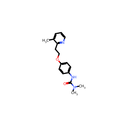 Cc1cccnc1CCOc1ccc(NC(=O)N(C)C)cc1